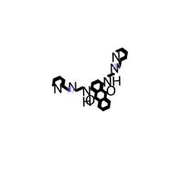 O=C1c2ccccc2C(=O)c2c(NCC/N=C/c3ccccn3)ccc(NCC/N=C/c3ccccn3)c21